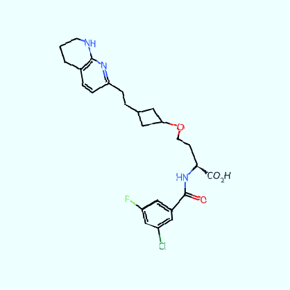 O=C(N[C@@H](CCOC1CC(CCc2ccc3c(n2)NCCC3)C1)C(=O)O)c1cc(F)cc(Cl)c1